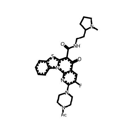 CC(=O)N1CCN(c2nc3c(cc2F)c(=O)c(C(=O)NCCC2CCCN2C)c2sc4ccccc4n23)CC1